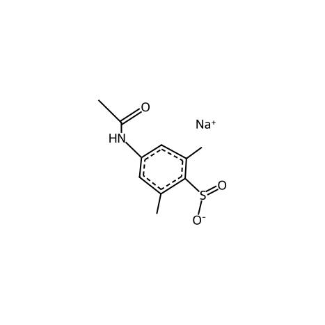 CC(=O)Nc1cc(C)c(S(=O)[O-])c(C)c1.[Na+]